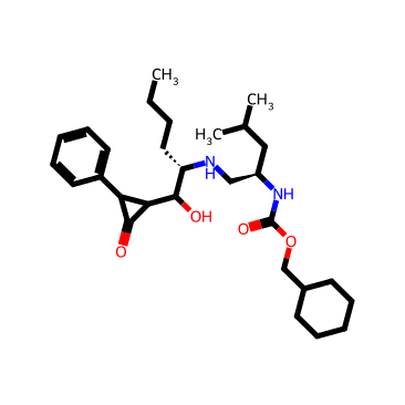 CCCC[C@H](NC[C@@H](CC(C)C)NC(=O)OCC1CCCCC1)C(O)C1C(=O)C1c1ccccc1